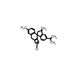 C=C(C)c1ccc2c(c1)C(=C)CC21c2ccc(C)cc2Cc2cc(Cl)ccc21